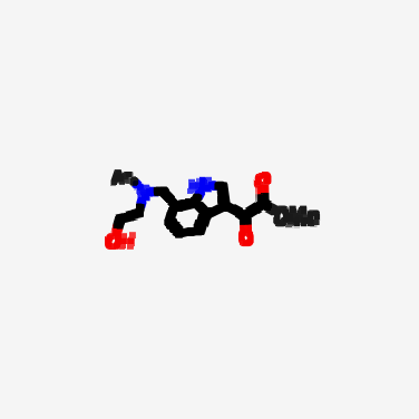 COC(=O)C(=O)c1c[nH]c2c(CN(CCO)C(C)=O)cccc12